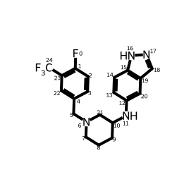 Fc1ccc(CN2CCCC(Nc3ccc4[nH]ncc4c3)C2)cc1C(F)(F)F